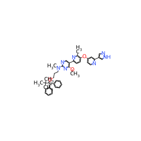 COc1nc(N(C)CCCO[Si](c2ccccc2)(c2ccccc2)C(C)(C)C)ncc1-c1ccc(Oc2ccnc(-c3cn[nH]c3)c2)c(C)n1